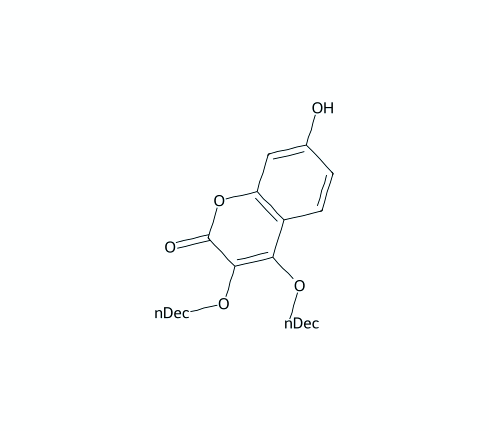 CCCCCCCCCCOc1c(OCCCCCCCCCC)c2ccc(O)cc2oc1=O